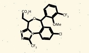 COc1c(C2OC(CC(=O)O)c3nnc(C(F)(F)F)n3-c3ccc(Cl)cc32)cccc1C(F)(F)F